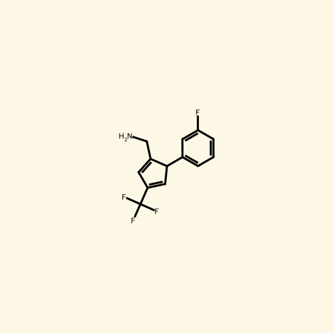 NCC1=CC(C(F)(F)F)=CC1c1cccc(F)c1